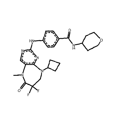 CN1C(=O)C(F)(F)CN(C2CCC2)c2nc(Nc3ccc(C(=O)NC4CCOCC4)cc3)ncc21